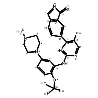 CN1CCN(c2ccc(OC(F)(F)F)c(Nc3ncc(F)c(-c4ccc5c(c4)C(=O)N=C5)n3)c2)CC1